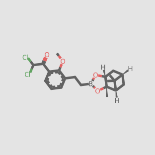 COc1c(CCB2O[C@@H]3C[C@@H]4C[C@@H](C4(C)C)[C@]3(C)O2)cccc1C(=O)C(Cl)Cl